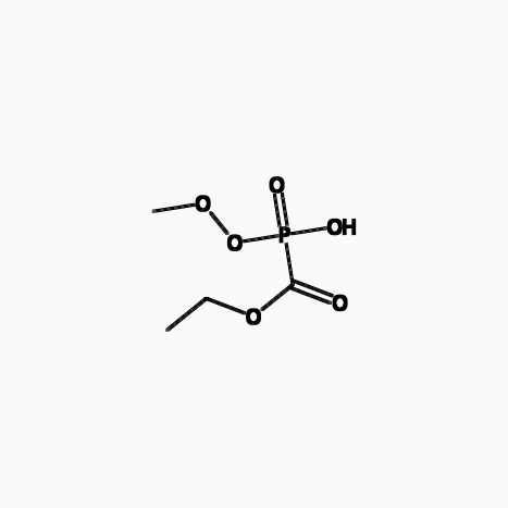 CCOC(=O)P(=O)(O)OOC